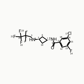 CC(C)(CN[C@H]1C[C@H](NC(=O)c2cc(F)cc(Cl)c2)C1)C(F)(F)F